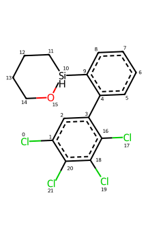 Clc1cc(-c2ccccc2[SiH]2CCCCO2)c(Cl)c(Cl)c1Cl